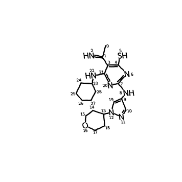 CC(=N)c1c(S)nc(Nc2cnn(C3CCOCC3)c2)nc1NC1CCCCC1